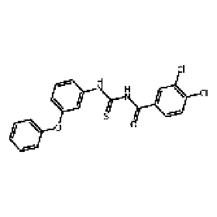 O=C(NC(=S)Nc1cccc(Oc2ccccc2)c1)c1ccc(Cl)c(Cl)c1